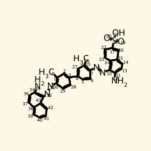 Cc1cc(-c2ccc(N=Nc3c(N)ccc4cc(S(=O)(=O)O)ccc34)c(C)c2)ccc1N=Nc1c(N)ccc2ccccc12